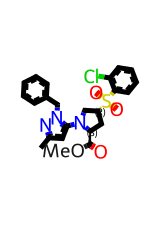 COC(=O)[C@@H]1C[C@@H](S(=O)(=O)c2ccccc2Cl)CN1c1cc(C)nn1Cc1ccccc1